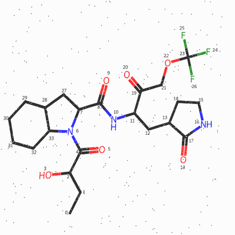 CCC(O)C(=O)N1C(C(=O)NC(CC2CCNC2=O)C(=O)COC(F)(F)F)CC2CCCCC21